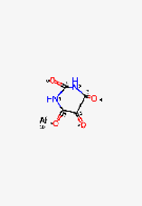 O=C1NC(=O)C(=O)C(=O)N1.[Al]